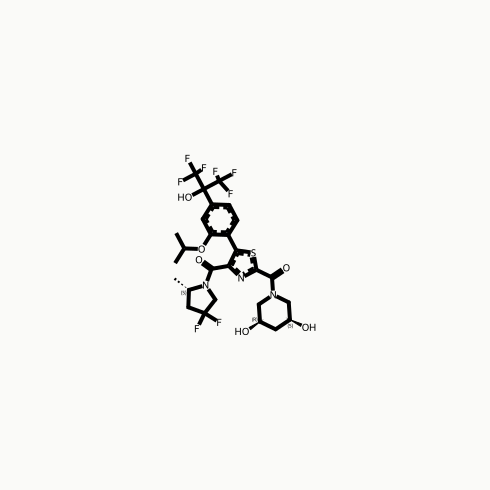 CC(C)Oc1cc(C(O)(C(F)(F)F)C(F)(F)F)ccc1-c1sc(C(=O)N2C[C@H](O)C[C@H](O)C2)nc1C(=O)N1CC(F)(F)C[C@@H]1C